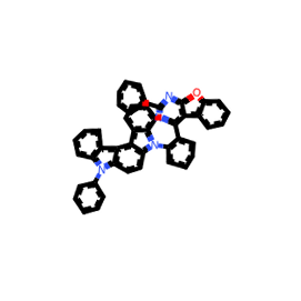 c1ccc(-c2nc(-c3ccccc3-n3c4ccccc4c4c5c6ccccc6n(-c6ccccc6)c5ccc43)c3c(n2)oc2ccccc23)cc1